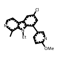 CCn1c2c(-c3ccc(OC)nc3)cc(Cl)cc2c2ccnc(C)c21